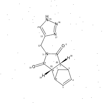 O=C1[C@@H]2C3C=CC(C3)[C@@H]2C(=O)N1Cc1c[nH]nn1